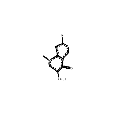 Cn1cc(C(=O)O)c(=O)c2ccc(Br)cc21